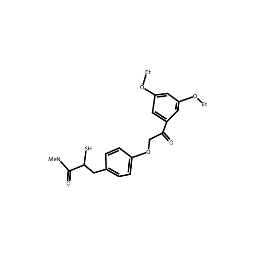 CCOc1cc(OCC)cc(C(=O)COc2ccc(CC(S)C(=O)NC)cc2)c1